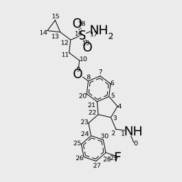 CNCC1Cc2ccc(OCCC(C3CC3)S(N)(=O)=O)cc2C1Cc1cccc(F)c1